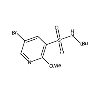 COc1ncc(Br)cc1S(=O)(=O)NC(C)(C)C